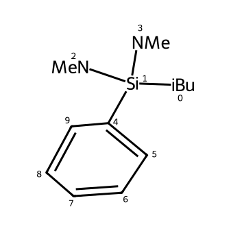 CCC(C)[Si](NC)(NC)c1ccccc1